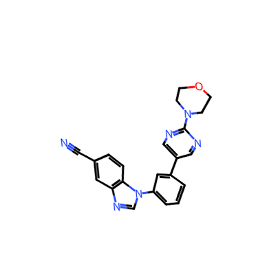 N#Cc1ccc2c(c1)ncn2-c1cccc(-c2cnc(N3CCOCC3)nc2)c1